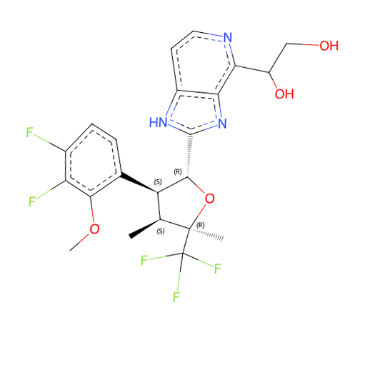 COc1c([C@H]2[C@H](c3nc4c(C(O)CO)nccc4[nH]3)O[C@@](C)(C(F)(F)F)[C@H]2C)ccc(F)c1F